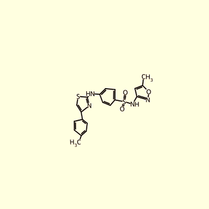 Cc1ccc(-c2csc(Nc3ccc(S(=O)(=O)Nc4cc(C)on4)cc3)n2)cc1